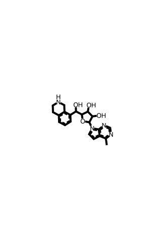 Cc1ncnc2c1ccn2C1OC(C(O)c2cccc3c2CNCC3)C(O)C1O